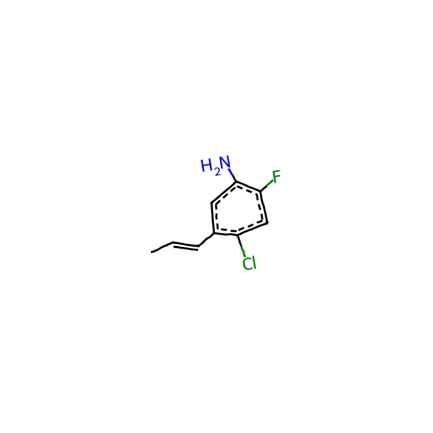 CC=Cc1cc(N)c(F)cc1Cl